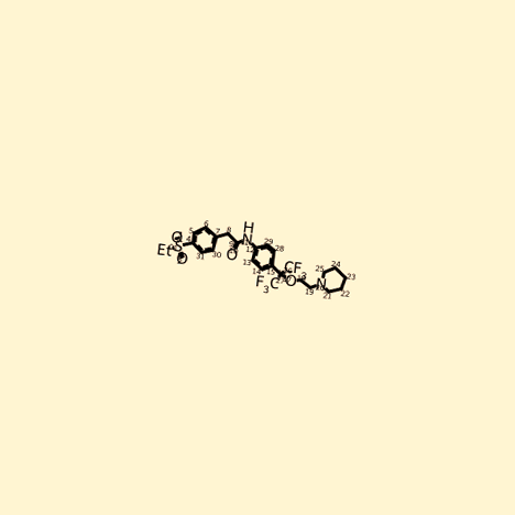 CCS(=O)(=O)c1ccc(CC(=O)Nc2ccc(C(OCCN3CCCCC3)(C(F)(F)F)C(F)(F)F)cc2)cc1